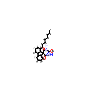 CCCCCCCCc1ccccc1C1(c2ccccc2)C(=O)NC(=O)NC1=O